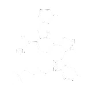 Cn1ncc(C(=O)NC(Cc2ccccc2)C(=O)C(N)=O)c1-c1nn(COCC[Si](C)(C)C)c2ccccc12